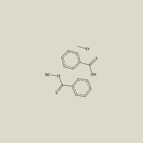 CCC.N#COC(=S)c1ccccc1.OC(=S)c1ccccc1